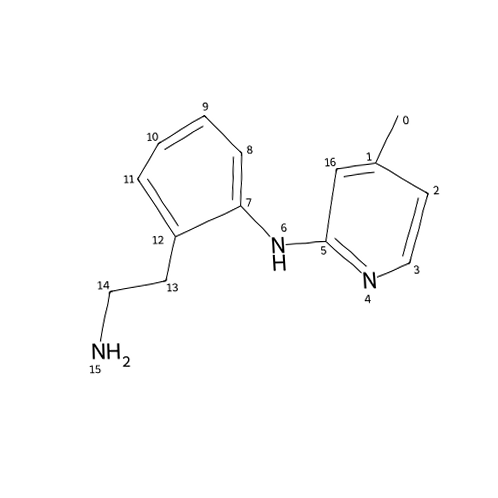 Cc1ccnc(Nc2ccccc2CCN)c1